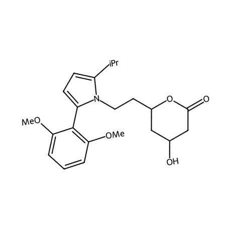 COc1cccc(OC)c1-c1ccc(C(C)C)n1CCC1CC(O)CC(=O)O1